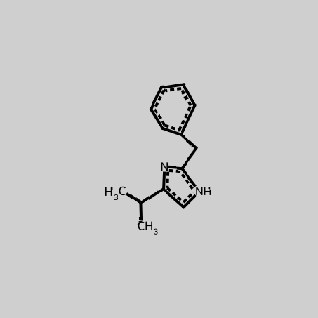 CC(C)c1c[nH]c(Cc2ccccc2)n1